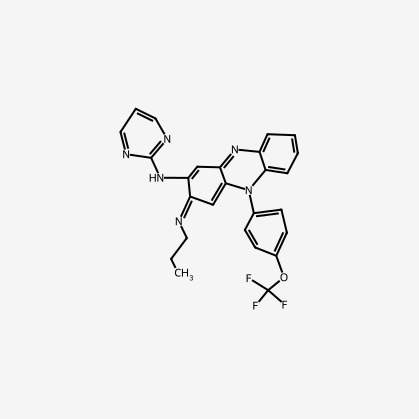 CCCN=c1cc2n(-c3ccc(OC(F)(F)F)cc3)c3ccccc3nc-2cc1Nc1ncccn1